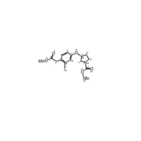 COC(=O)Cc1ccc(O[C@H]2CCN(C(=O)OC(C)(C)C)C2)cc1F